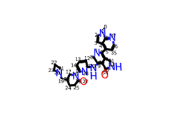 Cn1ccc2c(-c3ncc(Nc4cccc(N5C[C@H](CN6CCC6)CCC5=O)n4)c4c3CNC4=O)ccnc21